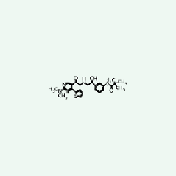 CN(C)c1ncc(C(=O)CNCC(O)c2cccc(OC(=O)C(C)(C)C)c2)c(-c2cccs2)n1